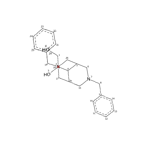 OCC(O)C1C2CN(Cc3ccccc3)CC1CN(Cc1ccccc1)C2